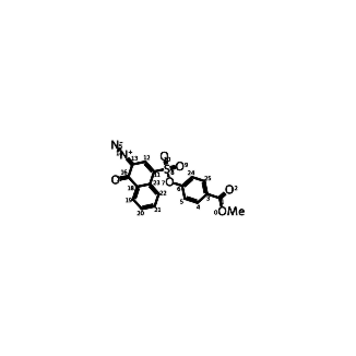 COC(=O)c1ccc(OS(=O)(=O)C2=CC(=[N+]=[N-])C(=O)c3ccccc32)cc1